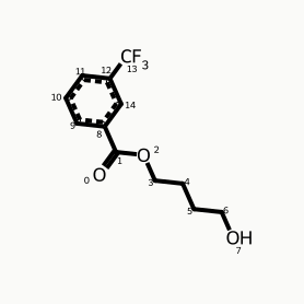 O=C(OCCCCO)c1cccc(C(F)(F)F)c1